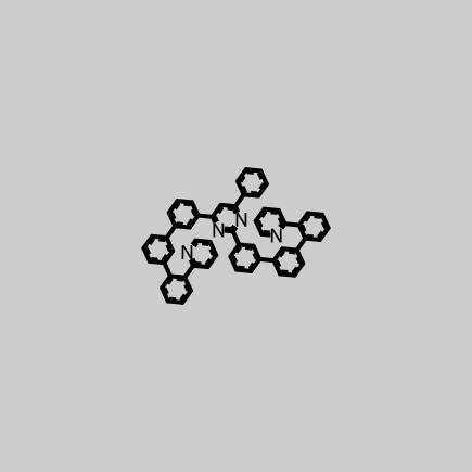 c1ccc(-c2cc(-c3cccc(-c4cccc(-c5ccccc5-c5ccccn5)c4)c3)nc(-c3cccc(-c4cccc(-c5ccccc5-c5ccccn5)c4)c3)n2)cc1